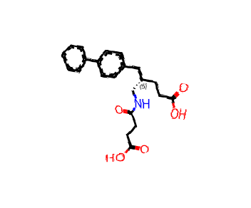 O=C(O)CCC(=O)NC[C@@H](CCC(=O)O)Cc1ccc(-c2ccccc2)cc1